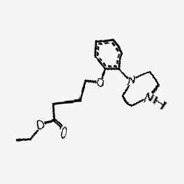 CCOC(=O)CCCOc1ccccc1N1CCNCC1